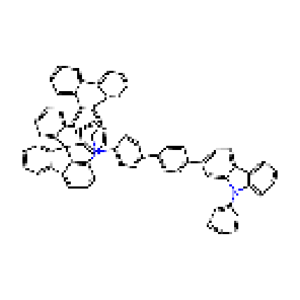 c1ccc(-n2c3ccccc3c3ccc(-c4ccc(-c5ccc(N(c6ccc7c8ccccc8c8ccccc8c7c6)c6cccc7c6C6(c8ccccc8-c8ccccc86)c6ccccc6-7)cc5)cc4)cc32)cc1